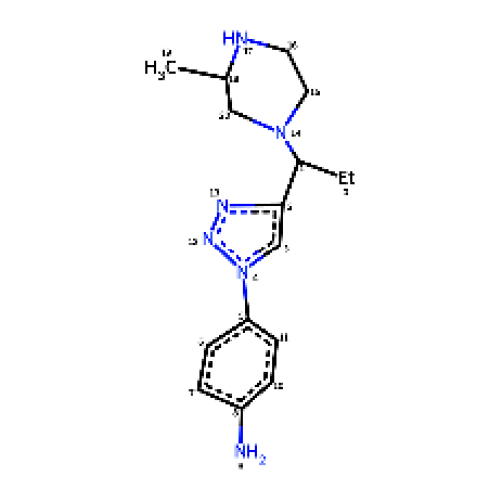 CCC(c1cn(-c2ccc(N)cc2)nn1)N1CCNC(C)C1